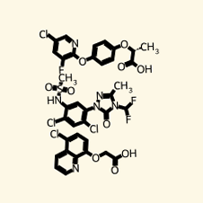 C[C@@H](Oc1ccc(Oc2ncc(Cl)cc2F)cc1)C(=O)O.Cc1nn(-c2cc(NS(C)(=O)=O)c(Cl)cc2Cl)c(=O)n1C(F)F.O=C(O)COc1ccc(Cl)c2cccnc12